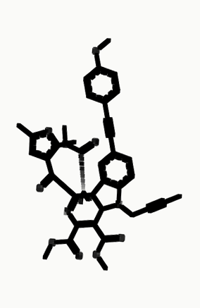 CC#CCN1c2ccc(C#Cc3ccc(OC)cc3)cc2[C@]23C[C@@H](C(=O)OC)N(C(=O)c4cc(C)oc4C)C2=NC(C(=O)OC)=C(C(=O)OC)C13